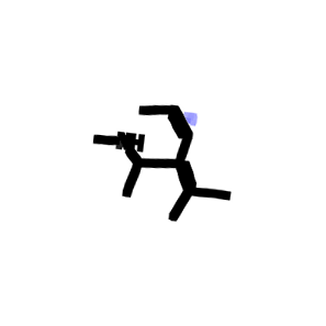 C/C=C\C(=C(C)C)C(C)NC